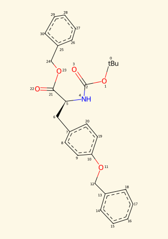 CC(C)(C)OC(=O)N[C@@H](Cc1ccc(OCc2ccccc2)cc1)C(=O)OCc1ccccc1